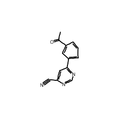 CC(=O)c1cccc(-c2cc(C#N)ncn2)c1